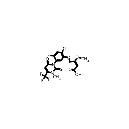 CO/C(=C/C(=O)O)COc1cc(-n2c(=O)cc(C(F)(F)F)n(C)c2=S)c(F)cc1Cl